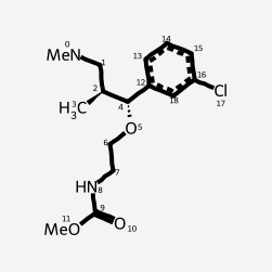 CNC[C@H](C)[C@@H](OCCNC(=O)OC)c1cccc(Cl)c1